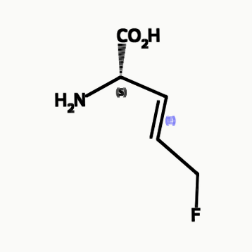 N[C@@H](/C=C/CF)C(=O)O